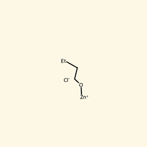 CCCC[O][Zn+].[Cl-]